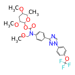 COCN(C(=O)O[C@@H]1O[C@@H](C)[C@H](OC)C[C@H]1OC)c1ccc(-c2ncn(-c3ccc(OC(F)(F)F)cc3)n2)cc1